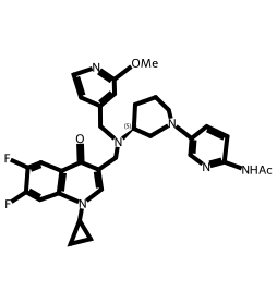 COc1cc(CN(Cc2cn(C3CC3)c3cc(F)c(F)cc3c2=O)[C@H]2CCCN(c3ccc(NC(C)=O)nc3)C2)ccn1